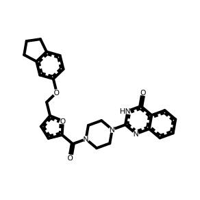 O=C(c1ccc(COc2ccc3c(c2)CCC3)o1)N1CCN(c2nc3ccccc3c(=O)[nH]2)CC1